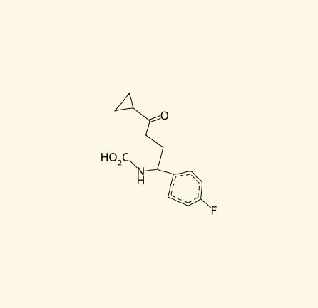 O=C(O)NC(CCC(=O)C1CC1)c1ccc(F)cc1